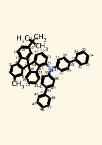 Cc1ccc2c(c1)C1(c3cc(C(C)(C)C)ccc3-2)c2ccccc2-c2c(N(c3ccc(-c4ccccc4)cc3)c3ccc(-c4ccccc4)cc3)cccc21